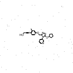 Cc1cc(OCc2nnc(OC3CCCC3)n2-c2cccnc2)ccc1C#CCO